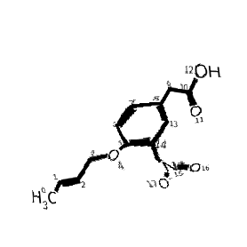 CC=CCOc1ccc(CC(=O)O)cc1[N+](=O)[O-]